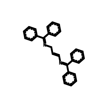 C(=CN=C(c1ccccc1)c1ccccc1)CN=C(c1ccccc1)c1ccccc1